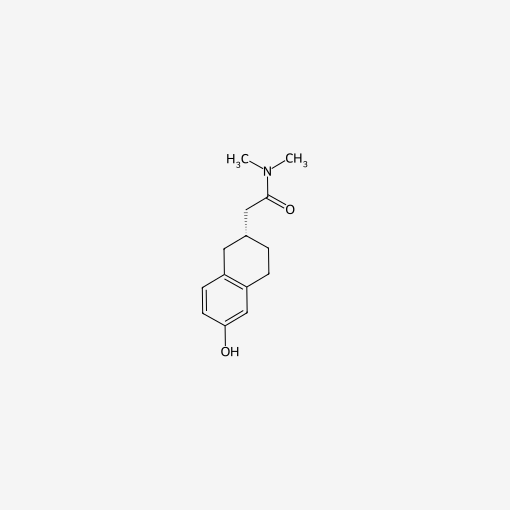 CN(C)C(=O)C[C@@H]1CCc2cc(O)ccc2C1